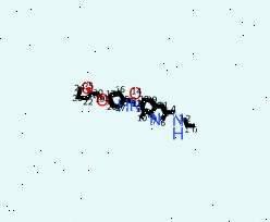 CCCNCc1cnc2c(C)c(NC(=O)c3ccc(OCC4CCCO4)cc3)ccc2c1